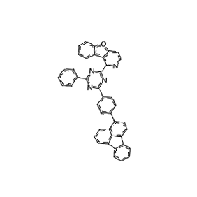 c1ccc(-c2nc(-c3ccc(-c4ccc5c6c(cccc46)-c4ccccc4-5)cc3)nc(-c3nccc4oc5ccccc5c34)n2)cc1